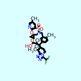 Cc1cnc2c(c1)S(=O)(=O)N(Cc1cc(C(c3ccn4c(C(F)F)nnc4c3C)C(C)(C)C(=O)O)ccc1C)CC1(CC1)O2